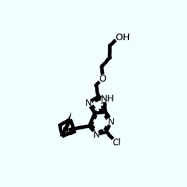 OCCCOCc1nc2c(N3CC4CC3C4)nc(Cl)nc2[nH]1